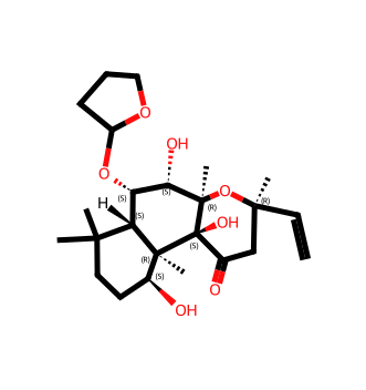 C=C[C@@]1(C)CC(=O)[C@]2(O)[C@@]3(C)[C@@H](O)CCC(C)(C)[C@@H]3[C@H](OC3CCCO3)[C@H](O)[C@@]2(C)O1